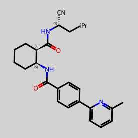 Cc1cccc(-c2ccc(C(=O)N[C@H]3CCCC[C@H]3C(=O)N[C@H](C#N)CC(C)C)cc2)n1